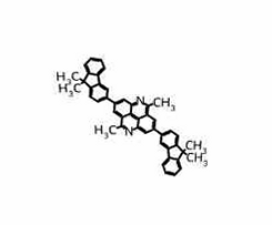 Cc1nc2cc(-c3ccc4c(c3)-c3ccccc3C4(C)C)cc3c(C)nc4cc(-c5ccc6c(c5)-c5ccccc5C6(C)C)cc1c4c23